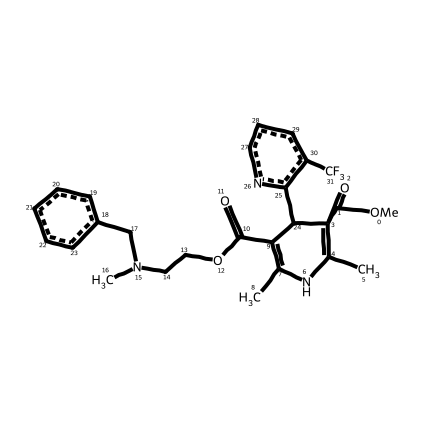 COC(=O)C1=C(C)NC(C)=C(C(=O)OCCN(C)Cc2ccccc2)C1c1ncccc1C(F)(F)F